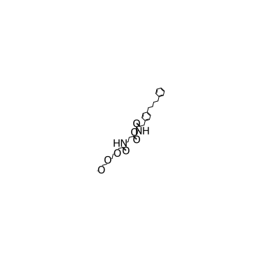 COCCOCCOCC(=O)NCCC(=O)ONC(=O)Cc1ccc(CCCCc2ccccc2)cc1